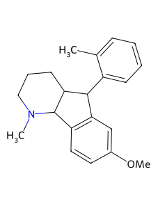 COc1ccc2c(c1)C(c1ccccc1C)C1CCCN(C)C21